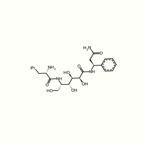 CC(C)C[C@H](N)C(=O)N[C@@H](CO)[C@@H](O)[C@@H](O)[C@H](O)C(=O)N[C@@H](CC(N)=O)c1ccccc1